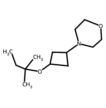 CCC(C)(C)OC1CC(N2CCOCC2)C1